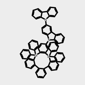 c1ccc([Si]2(c3ccccc3)c3ccccc3-c3ccccc3-c3ccccc3[Si](c3ccccc3)(c3ccccc3)c3cc(-n4c5ccccc5c5cc(-n6c7ccccc7c7ccccc76)ccc54)ccc32)cc1